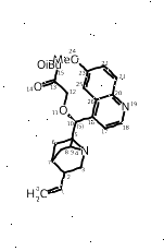 C=CC1CN2CCC1CC2[C@@H](OCC(=O)OCC(C)C)c1ccnc2ccc(OC)cc12